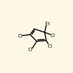 CCC1(Cl)C=C(Cl)C(Cl)=C1Cl